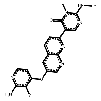 CC(C)Nc1ncc(-c2ccc3cc(Oc4ccnc(N)c4Cl)cnc3n2)c(=O)n1C